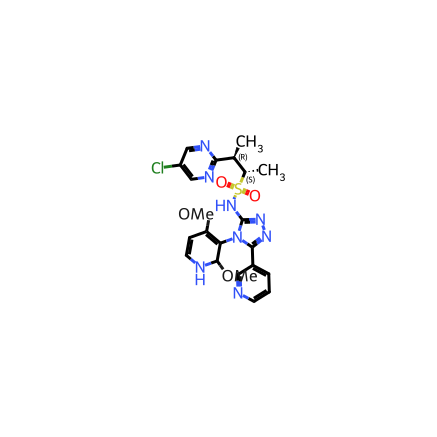 COC1=C(n2c(NS(=O)(=O)[C@@H](C)[C@H](C)c3ncc(Cl)cn3)nnc2-c2cccnc2)C(OC)NC=C1